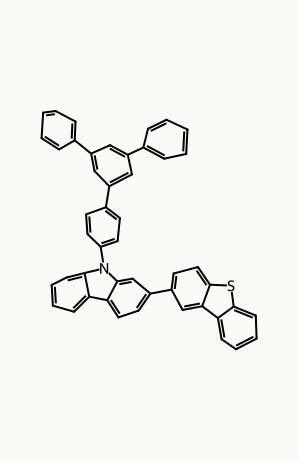 c1ccc(-c2cc(-c3ccccc3)cc(-c3ccc(-n4c5ccccc5c5ccc(-c6ccc7sc8ccccc8c7c6)cc54)cc3)c2)cc1